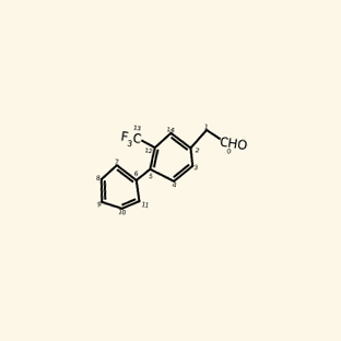 O=CCc1ccc(-c2ccccc2)c(C(F)(F)F)c1